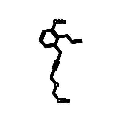 C=CCc1c(CC#CCOCOC)cccc1OC